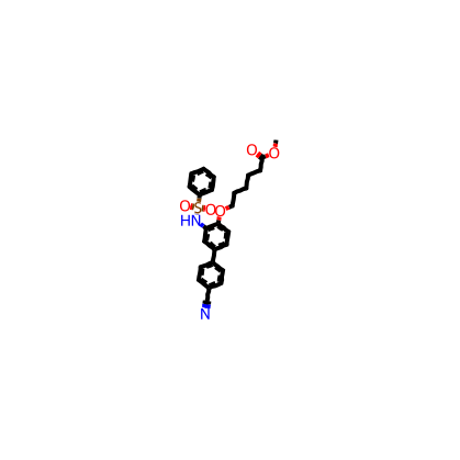 COC(=O)CCCCCOc1ccc(-c2ccc(C#N)cc2)cc1NS(=O)(=O)c1ccccc1